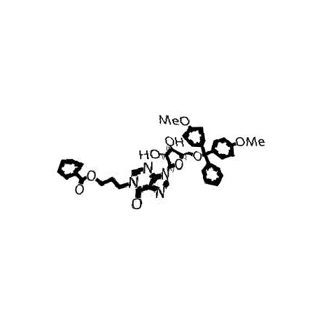 COc1ccc(C(OC[C@H]2O[C@@H](n3cnc4c(=O)n(CCCOC(=O)c5ccccc5)cnc43)[C@H](O)[C@@H]2O)(c2ccccc2)c2ccc(OC)cc2)cc1